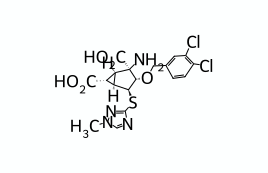 Cn1cnc(S[C@H]2[C@H]3[C@H](C(=O)O)[C@H]3[C@](N)(C(=O)O)[C@@H]2OCc2ccc(Cl)c(Cl)c2)n1